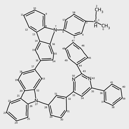 C[SiH](C)c1ccc(-n2c3ccccc3c3cc(-c4ccc5c6ccccc6n(-c6cccc(-c7cc(-c8ccccc8)nc(-c8ccccc8)n7)c6)c5c4)ccc32)cc1